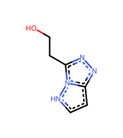 OCCc1nnc2cc[nH]n12